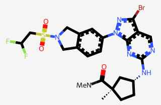 CNC(=O)[C@]1(C)CC[C@@H](Nc2ncc3c(Br)nn(-c4ccc5c(c4)CN(S(=O)(=O)CC(F)F)C5)c3n2)C1